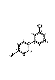 CCc1cncc(-c2ccc(F)cc2)c1